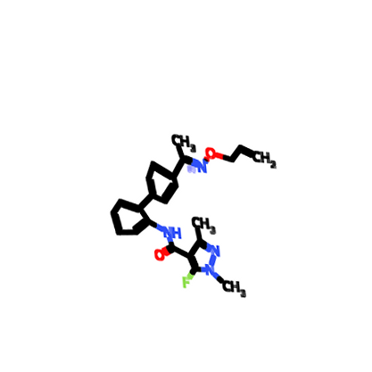 C=CCO/N=C(\C)c1ccc(-c2ccccc2NC(=O)c2c(C)nn(C)c2F)cc1